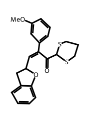 COc1cccc(C(=CC2Cc3ccccc3O2)C(=O)C2SCCCS2)c1